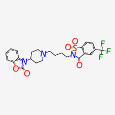 O=C1c2cc(C(F)(F)F)ccc2S(=O)(=O)N1CCCCN1CCC(n2c(=O)oc3ccccc32)CC1